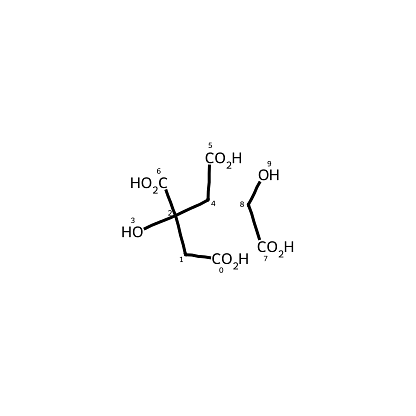 O=C(O)CC(O)(CC(=O)O)C(=O)O.O=C(O)CO